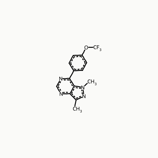 Cc1nn(C)c2c(-c3ccc(OC(F)(F)F)cc3)ncnc12